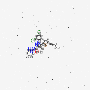 CCCC#Cc1ccc(-c2c(CC)c(C(=O)NN3CCCCC3)nn2-c2ccc(Cl)cc2Cl)s1